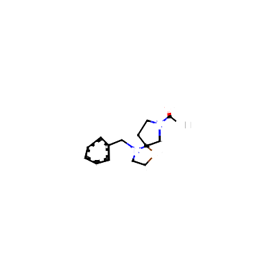 CC(=O)N1CCC2(C1)SCCN2Cc1ccccc1